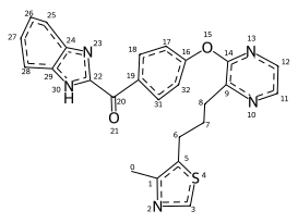 Cc1ncsc1CCCc1nccnc1Oc1ccc(C(=O)c2nc3ccccc3[nH]2)cc1